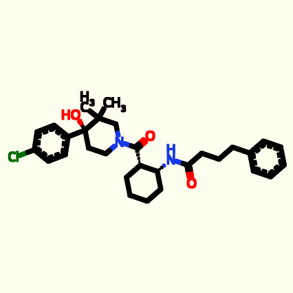 CC1(C)CN(C(=O)[C@H]2CCCC[C@H]2NC(=O)CCCc2ccccc2)CC[C@]1(O)c1ccc(Cl)cc1